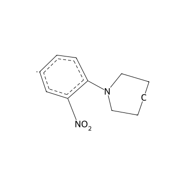 O=[N+]([O-])c1c[c]ccc1N1CCCCC1